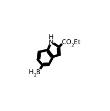 Bc1ccc2[nH]c(C(=O)OCC)cc2c1